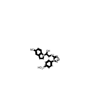 N#Cc1ccc2c(c1)CCN2C(O)CSc1nnnn1-c1ccc(C(=O)O)cc1